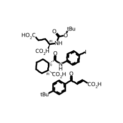 CC(C)(C)OC(=O)N[C@H](CCC(=O)O)C(=O)O.CC(C)(C)c1ccc(C(=O)C=CC(=O)O)cc1.O=C(Nc1ccc(I)cc1)[C@H]1CCCC[C@H]1C(=O)O